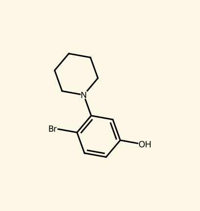 Oc1ccc(Br)c(N2CCCCC2)c1